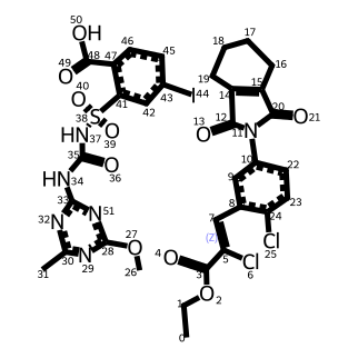 CCOC(=O)/C(Cl)=C/c1cc(N2C(=O)C3=C(CCCC3)C2=O)ccc1Cl.COc1nc(C)nc(NC(=O)NS(=O)(=O)c2cc(I)ccc2C(=O)O)n1